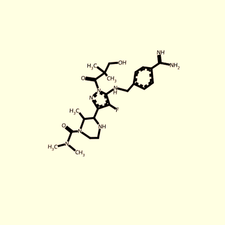 CC1C(c2nn(C(=O)C(C)(C)CO)c(NCc3ccc(C(=N)N)cc3)c2F)NCCN1C(=O)N(C)C